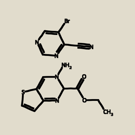 CCOC(=O)C1N=c2ccsc2=CN1N.N#Cc1ncncc1Br